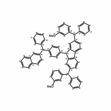 COc1cccc(N(c2ccccc2)c2ccc3c4ccc(N(c5ccccc5)c5cccc(OC)c5)cc4n(-c4ccc(N(c5ccccc5)c5ccc6ccccc6c5)cc4)c3c2)c1